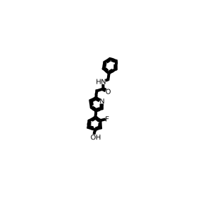 O=C(Cc1ccc(-c2ccc(O)cc2F)cn1)NCc1ccccc1